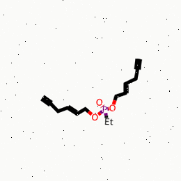 C#CCC=CCOP(=O)(CC)OCC=CCC#C